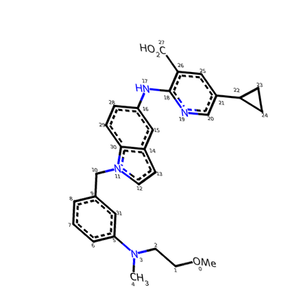 COCCN(C)c1cccc(Cn2ccc3cc(Nc4ncc(C5CC5)cc4C(=O)O)ccc32)c1